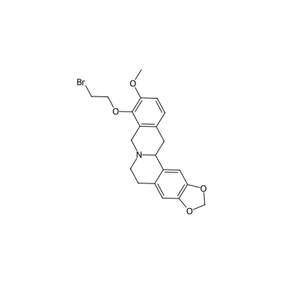 COc1ccc2c(c1OCCBr)CN1CCc3cc4c(cc3C1C2)OCO4